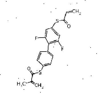 C=CC(=O)Sc1cc(F)c(-c2ccc(SC(=O)C(=C)C)cc2)c(F)c1